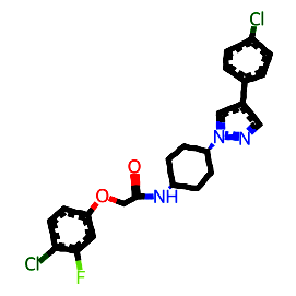 O=C(COc1ccc(Cl)c(F)c1)N[C@H]1CC[C@H](n2cc(-c3ccc(Cl)cc3)cn2)CC1